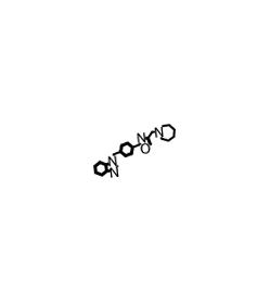 c1ccc2c(c1)ncn2Cc1ccc(-c2nc(CN3CCCCCC3)co2)cc1